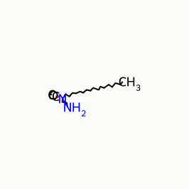 CCCCCCCCCCCCCCCCCN(CCN)C12CCC(CC1)CC2